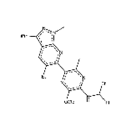 CCc1cc2c(C(C)C)nn(C)c2nc1-c1nc(OC)c(NC(CC)CC)nc1C